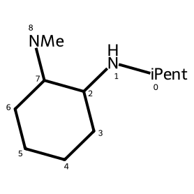 CCCC(C)NC1CCCCC1NC